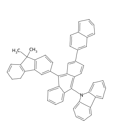 CC1(C)C2=C(CCC=C2)c2cc(-c3c4ccccc4c(-n4c5ccccc5c5ccccc54)c4ccc(-c5ccc6ccccc6c5)cc34)ccc21